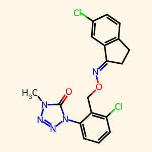 Cn1nnn(-c2cccc(Cl)c2CON=C2CCc3ccc(Cl)cc32)c1=O